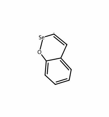 [C]1=Cc2ccccc2O[Se]1